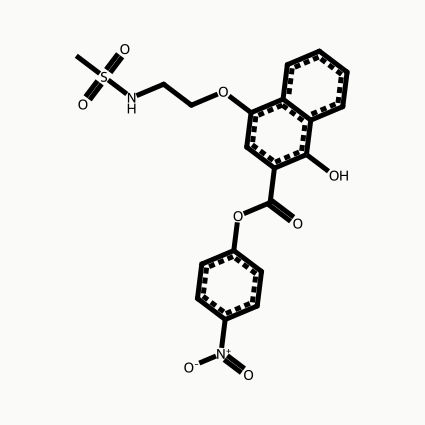 CS(=O)(=O)NCCOc1cc(C(=O)Oc2ccc([N+](=O)[O-])cc2)c(O)c2ccccc12